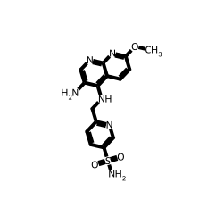 COc1ccc2c(NCc3ccc(S(N)(=O)=O)cn3)c(N)cnc2n1